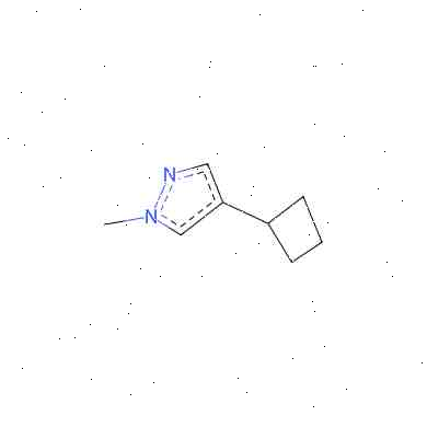 Cn1cc(C2CCC2)cn1